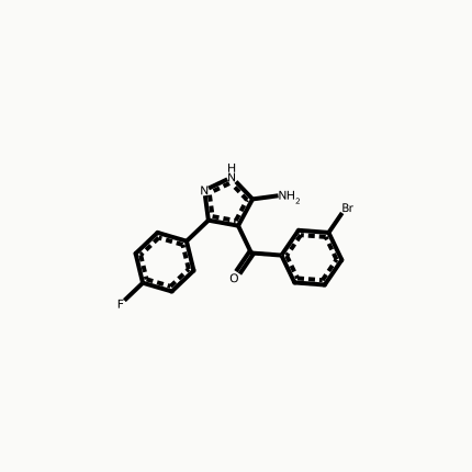 Nc1[nH]nc(-c2ccc(F)cc2)c1C(=O)c1cccc(Br)c1